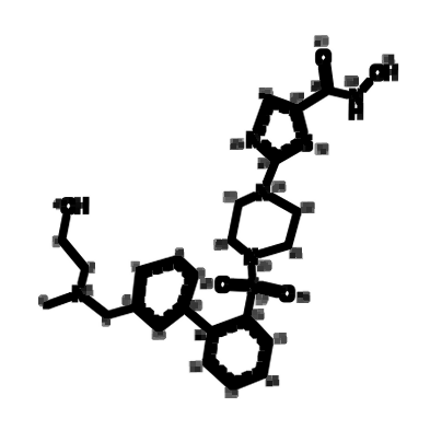 CN(CCO)Cc1cccc(-c2ccccc2S(=O)(=O)N2CCN(c3ncc(C(=O)NO)s3)CC2)c1